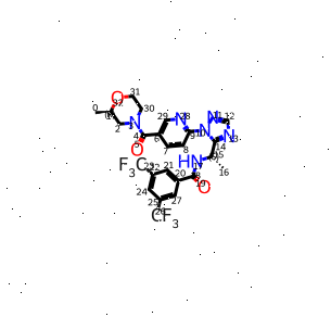 C[C@@H]1CN(C(=O)c2ccc(-n3ncnc3[C@H](C)NC(=O)c3cc(C(F)(F)F)cc(C(F)(F)F)c3)nc2)CCO1